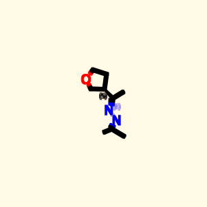 CC(C)=N/N=C(\C)[C@@H]1CCOC1